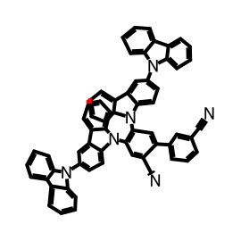 N#Cc1cccc(-c2cc(-n3c4ccccc4c4cc(-n5c6ccccc6c6ccccc65)ccc43)c(-n3c4ccccc4c4cc(-n5c6ccccc6c6ccccc65)ccc43)cc2C#N)c1